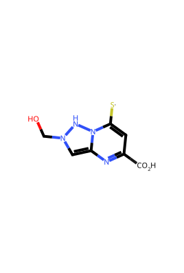 O=C(O)C1=NC2=CN(CO)NN2C([S])=C1